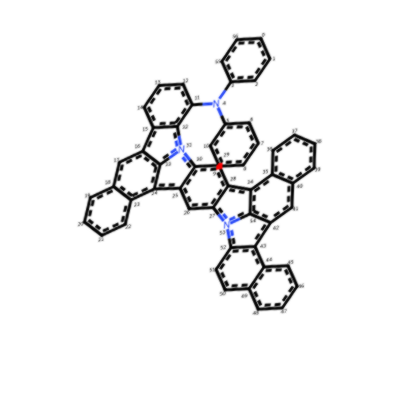 c1ccc(N(c2ccccc2)c2cccc3c4cc5ccccc5c5c6cc7c(cc6n(c23)c45)c2c3ccccc3cc3c4c5ccccc5ccc4n7c32)cc1